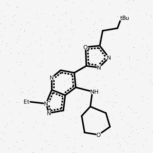 CCn1ncc2c(NC3CCOCC3)c(-c3nnc(CCC(C)(C)C)o3)cnc21